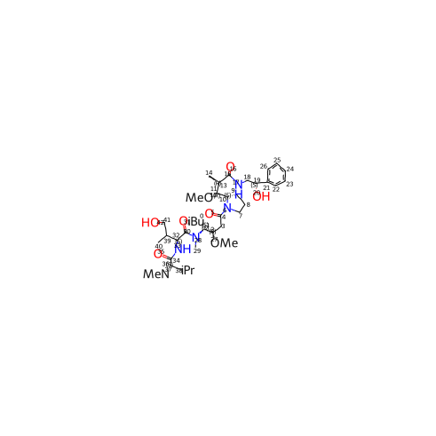 CC[C@H](C)[C@@H]([C@@H](CC(=O)N1CCC[C@H]1[C@H](OC)[C@@H](C)C(=O)NC[C@@H](O)c1ccccc1)OC)N(C)C(=O)[C@@H](NC(=O)[C@@H](NC)C(C)C)C(C)CO